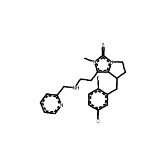 Cn1c(CCNCc2ccccn2)c2n(c1=S)CCC2Cc1cc(Cl)ccc1F